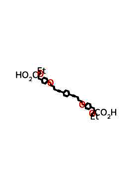 CCOC(Cc1ccc(OC/C=C/C#Cc2ccc(C#C/C=C/COc3ccc(CC(OCC)C(=O)O)cc3)cc2)cc1)C(=O)O